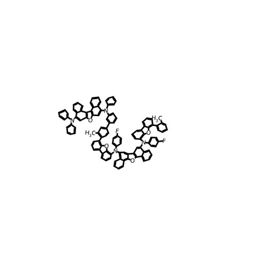 Cc1ccccc1-c1cccc2c1oc1c(N(c3ccc(F)cc3)c3cc4c5cc(N(c6ccc(F)cc6)c6cccc7c6oc6c(-c8ccc(-c9cccc(N(c%10ccccc%10)c%10cc%11oc%12cc(N(c%13ccccc%13)c%13ccccc%13)c%13ccccc%13c%12c%11c%11ccccc%10%11)c9)cc8C)cccc67)c6ccccc6c5oc4c4ccccc34)cccc12